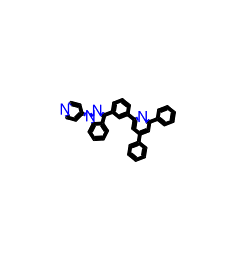 c1ccc(-c2cc(-c3ccccc3)nc(-c3cccc(-c4nn(-c5ccncc5)c5ccccc45)c3)c2)cc1